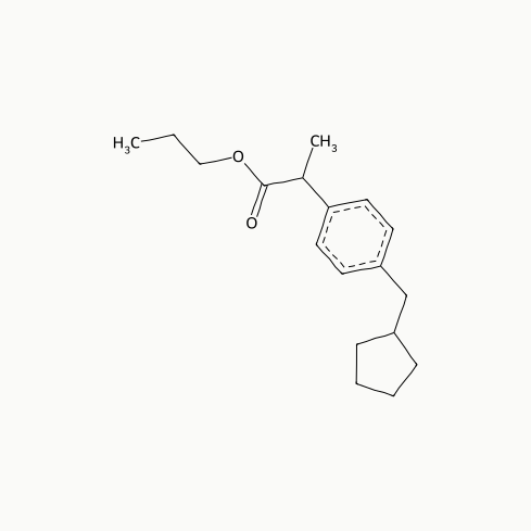 CCCOC(=O)C(C)c1ccc(CC2CCCC2)cc1